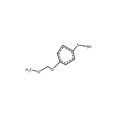 COCOc1ccc(SS)cc1